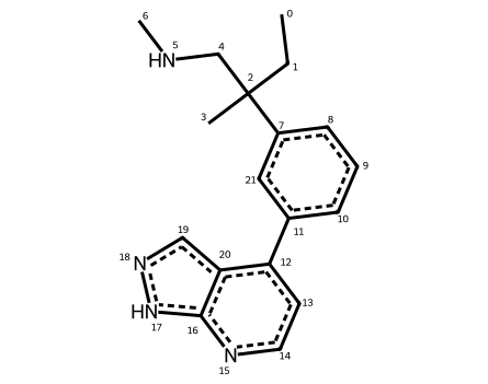 CCC(C)(CNC)c1cccc(-c2ccnc3[nH]ncc23)c1